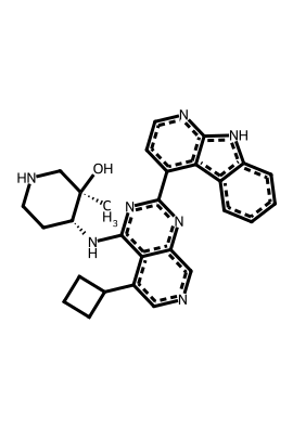 C[C@@]1(O)CNCC[C@H]1Nc1nc(-c2ccnc3[nH]c4ccccc4c23)nc2cncc(C3CCC3)c12